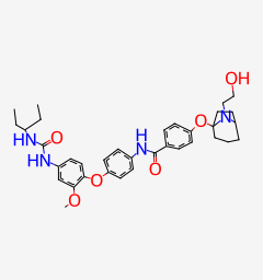 CCC(CC)NC(=O)Nc1ccc(Oc2ccc(NC(=O)c3ccc(OC45CCCC(CC4)N5CCO)cc3)cc2)c(OC)c1